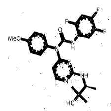 COc1ccc(N(C(=O)Nc2cc(F)c(F)cc2F)c2ccnc(N[C@@H](C)C(C)(C)O)n2)cc1